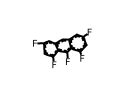 Fc1cc(F)c2c(F)c3c(F)cc(F)cc3cc2c1